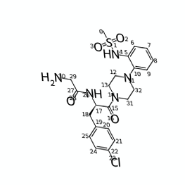 CS(=O)(=O)Nc1ccccc1N1CCN(C(=O)[C@@H](Cc2ccc(Cl)cc2)NC(=O)CN)CC1